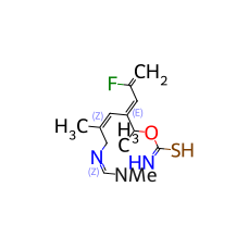 C=C(F)/C=C(\C=C(\C)C/N=C\NC)C(C)OC(=N)S